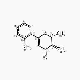 C=C1C(=O)C=C(c2ccncc2C)C[C@@H]1C